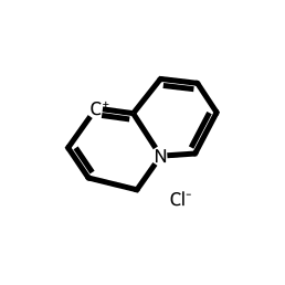 [C+]1=C2C=CC=CN2CC=C1.[Cl-]